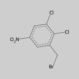 O=[N+]([O-])c1cc(Cl)c(Cl)c(CBr)c1